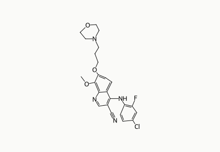 COc1c(OCCCN2CCOCC2)ccc2c(Nc3ccc(Cl)cc3F)c(C#N)cnc12